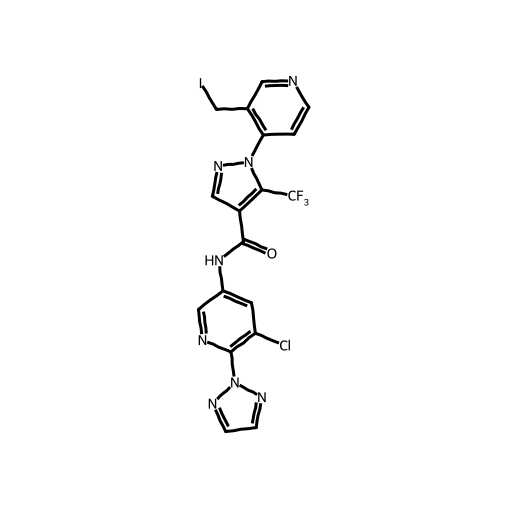 O=C(Nc1cnc(-n2nccn2)c(Cl)c1)c1cnn(-c2ccncc2CI)c1C(F)(F)F